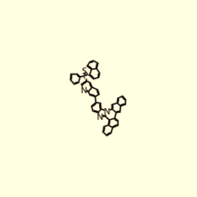 S=P(c1ccccc1)(c1cnc2cc(-c3ccc4nc5c6c7ccccc7ccc6c6cc7ccccc7cc6n5c4c3)ccc2c1)c1cccc2ccccc12